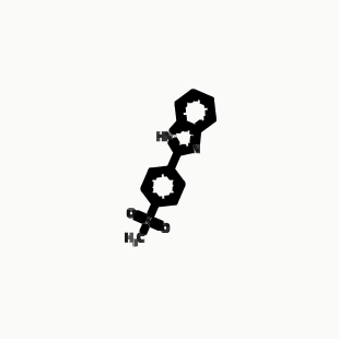 CS(=O)(=O)c1ccc(-c2nc3ccccc3[nH]2)cc1